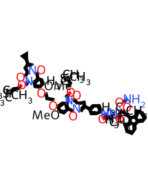 COc1cc2c(cc1OCCCOc1cc3c(cc1OC)C(=O)N1C=C(C4CC4)CC1C(=O)N3COCC[Si](C)(C)C)N(COCC[Si](C)(C)C)C(=O)C1CC(c3ccc(NC(=O)[C@H](C)NC(=O)[C@@](C)(OC(N)=O)C(C)(C)C4c5ccccc5-c5ccccc54)cc3)=CN1C2=O